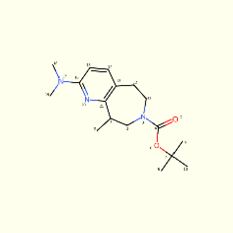 CC1CN(C(=O)OC(C)(C)C)CCc2ccc(N(C)C)nc21